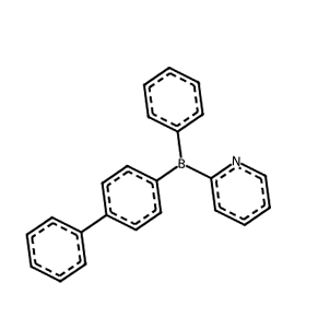 c1ccc(B(c2ccc(-c3ccccc3)cc2)c2ccccn2)cc1